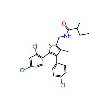 CCC(C)C(=O)NCc1sc(-c2ccc(Cl)cc2Cl)c(-c2ccc(Cl)cc2)c1C